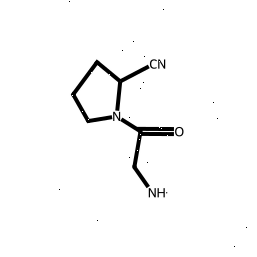 N#CC1CCCN1C(=O)C[NH]